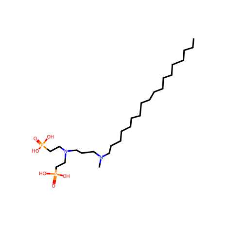 CCCCCCCCCCCCCCCCCCN(C)CCCN(CCP(=O)(O)O)CCP(=O)(O)O